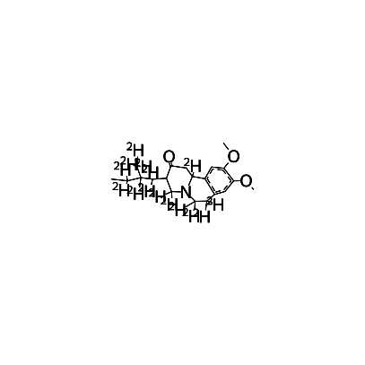 [2H]C12CC(=O)C(C([2H])([2H])C([2H])(C([2H])([2H])[2H])C([2H])([2H])C)C([2H])([2H])N1C([2H])([2H])C([2H])([2H])c1cc(OC)c(OC)cc12